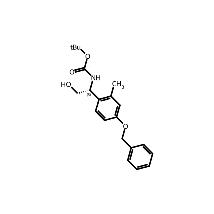 Cc1cc(OCc2ccccc2)ccc1[C@H](CO)NC(=O)OC(C)(C)C